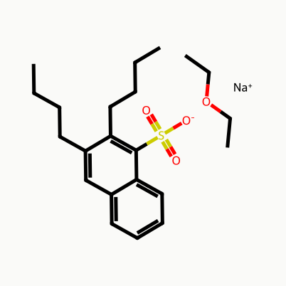 CCCCc1cc2ccccc2c(S(=O)(=O)[O-])c1CCCC.CCOCC.[Na+]